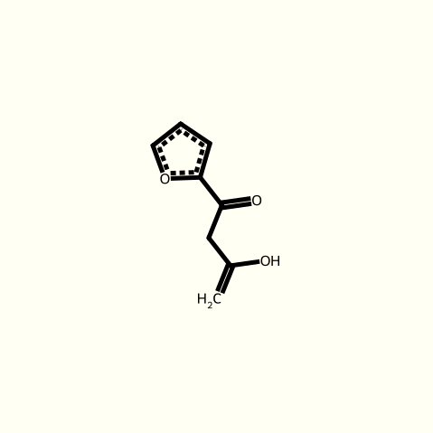 C=C(O)CC(=O)c1ccco1